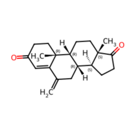 C=C1C[C@@H]2[C@@H](CC[C@]3(C)C(=O)CC[C@@H]23)[C@@]2(C)CCC(=O)C=C12